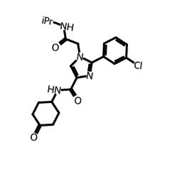 CC(C)NC(=O)Cn1cc(C(=O)NC2CCC(=O)CC2)nc1-c1cccc(Cl)c1